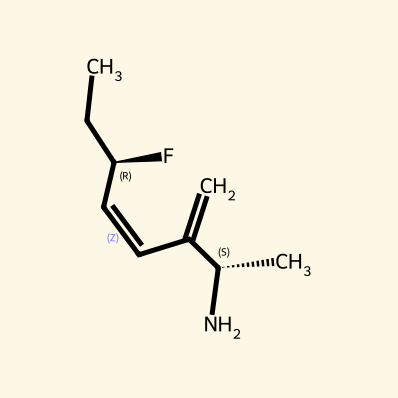 C=C(/C=C\[C@H](F)CC)[C@H](C)N